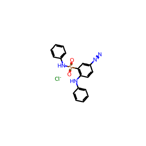 N#[N+]c1ccc(Nc2ccccc2)c(S(=O)(=O)Nc2ccccc2)c1.[Cl-]